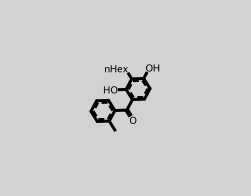 CCCCCCc1c(O)ccc(C(=O)c2ccccc2C)c1O